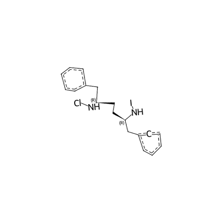 ClN[C@H](CC[C@H](Cc1ccccc1)NI)Cc1ccccc1